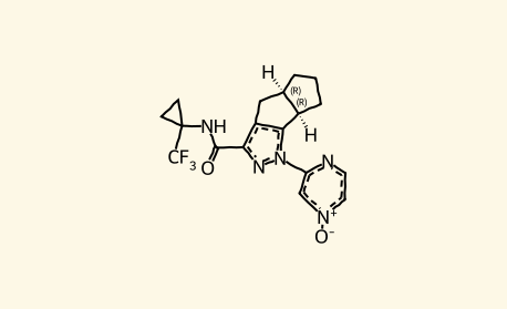 O=C(NC1(C(F)(F)F)CC1)c1nn(-c2c[n+]([O-])ccn2)c2c1C[C@H]1CCC[C@@H]21